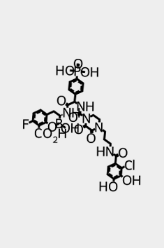 O=C(NCCCN1CCN(C(=O)NC(C(=O)N[C@H]2Cc3ccc(F)c(C(=O)O)c3OB2O)c2ccc(P(=O)(O)O)cc2)C(=O)C1=O)c1ccc(O)c(O)c1Cl